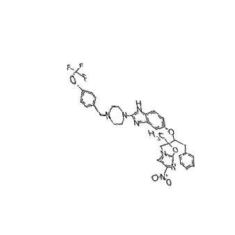 CC1(C(Cc2ccccc2)Oc2ccc3[nH]c(N4CCN(Cc5ccc(OC(F)(F)F)cc5)CC4)nc3c2)Cn2cc([N+](=O)[O-])nc2O1